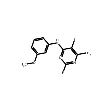 COc1cccc(Nc2nc(F)nc(C)c2I)c1